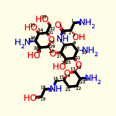 NC[C@H](O)C(=O)N[C@@H]1C[C@H](N)C(O[C@H]2O[C@H](CNCCO)CCC2N)C(O)C1O[C@H]1OC(CO)C(O)[C@H](N)C1O